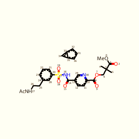 COC(=O)C(C)(C)COC(=O)c1ccc(C(=O)NS(=O)(=O)c2cccc(CCNC(C)=O)c2)cn1.c1cc2cc-2c1